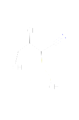 CCC(C)C(C#N)SSC